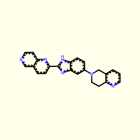 c1cnc2c(c1)CN(c1ccc3[nH]c(-c4ccc5cnccc5n4)nc3c1)CC2